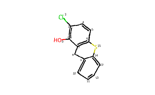 Oc1c(Cl)ccc2c1Cc1ccccc1S2